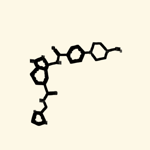 CN1CCN(c2ccc(C(=O)Nc3n[nH]c4ccc(C(=O)NCc5nccs5)cc34)cc2)CC1